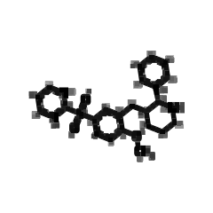 COc1ccc(S(=O)(=O)c2ncccn2)cc1C[C]1CCCN[C@@H]1c1ccccc1